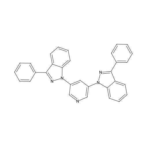 c1ccc(-c2nn(-c3cncc(-n4nc(-c5ccccc5)c5ccccc54)c3)c3ccccc23)cc1